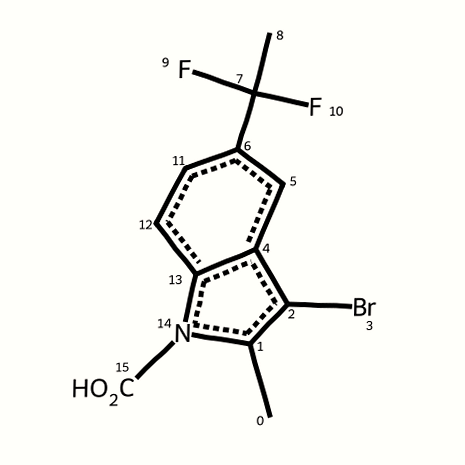 Cc1c(Br)c2cc(C(C)(F)F)ccc2n1C(=O)O